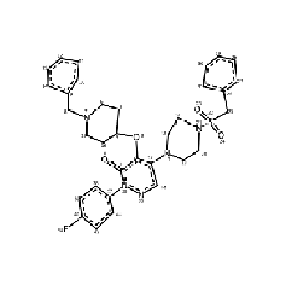 O=c1c(OC2CCN(Cc3ccccc3)CC2)c(N2CCN(S(=O)(=O)Cc3ccccc3)CC2)cnn1-c1ccc(F)cc1